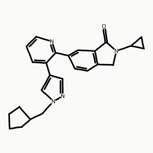 O=C1c2cc(-c3ncccc3-c3cnn(CC4CCCC4)c3)ccc2CN1C1CC1